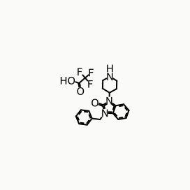 O=C(O)C(F)(F)F.O=c1n(Cc2ccccc2)c2ccccc2n1C1CCNCC1